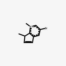 CC1C=Cc2cc(Br)c[n+](C)c21